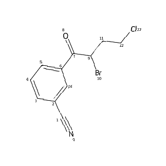 N#Cc1cccc(C(=O)C(Br)CCCl)c1